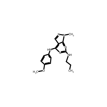 CCCNc1nc(Nc2ccc(OC)cc2)c2cnn(C)c2n1